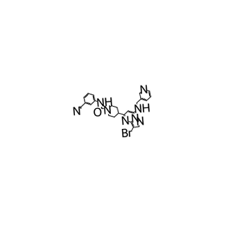 N#Cc1cccc(NC(=O)N2CCC(c3cc(NCc4cccnc4)n4ncc(Br)c4n3)CC2)c1